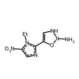 CCn1c([N+](=O)[O-])cnc1C1=CNN(N)O1